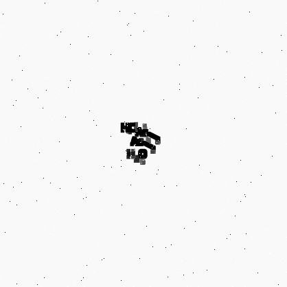 CC(C)=O.CC(C)=O.Cl.O